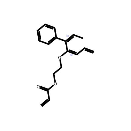 C=C/C=C(OCCOC(=O)C=C)\C(=C/C)c1ccccc1